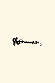 NCCCCCCCCCOc1ccc(F)c(-c2c(F)cccc2F)c1